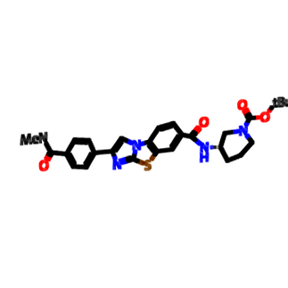 CNC(=O)c1ccc(-c2cn3c(n2)sc2cc(C(=O)N[C@H]4CCCN(C(=O)OC(C)(C)C)C4)ccc23)cc1